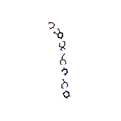 N#Cc1ccc(N2CCC(C(=O)Nc3ccc(N4CCC(CCN5CC6(CCN(c7ccc8c(c7)C(=O)N(C7CCC(=O)NC7=O)C8O)CC6)C5)CC4)cn3)CC2)cc1C(F)(F)F